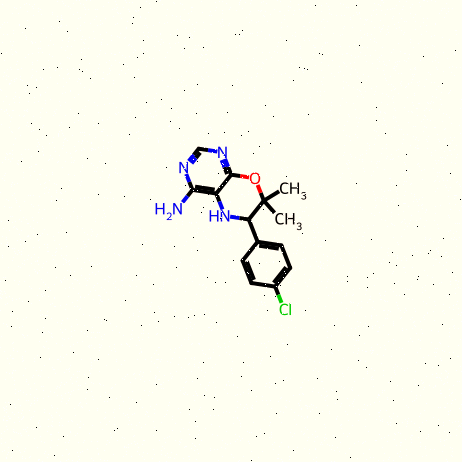 CC1(C)Oc2ncnc(N)c2NC1c1ccc(Cl)cc1